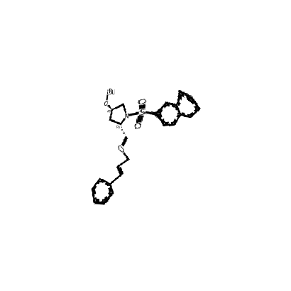 CC(C)(C)O[C@@H]1C[C@@H](COCC=Cc2ccccc2)N(S(=O)(=O)c2ccc3ccccc3c2)C1